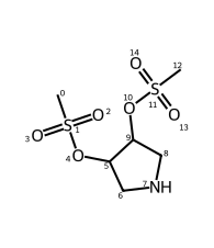 CS(=O)(=O)OC1CNCC1OS(C)(=O)=O